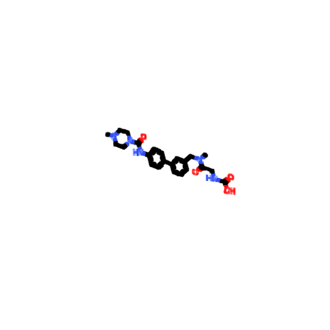 CN1CCN(C(=O)Nc2ccc(-c3cccc(CN(C)C(=O)CNC(=O)O)c3)cc2)CC1